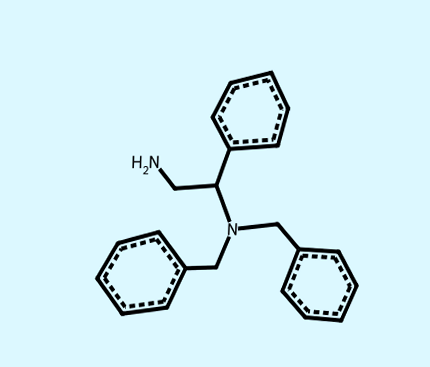 NCC(c1ccccc1)N(Cc1ccccc1)Cc1ccccc1